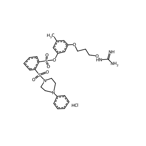 Cc1cc(OCCCONC(=N)N)cc(OS(=O)(=O)c2ccccc2S(=O)(=O)N2CCN(c3ccccc3)CC2)c1.Cl